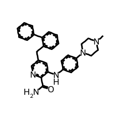 CN1CCN(c2ccc(Nc3cc(Cc4ccccc4-c4ccccc4)cnc3C(N)=O)cc2)CC1